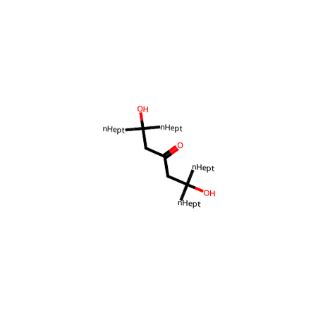 CCCCCCCC(O)(CCCCCCC)CC(=O)CC(O)(CCCCCCC)CCCCCCC